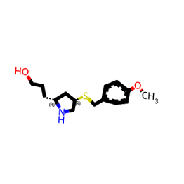 COc1ccc(CS[C@H]2CN[C@H](CCCO)C2)cc1